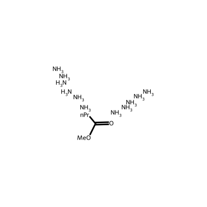 CCCC(=O)OC.N.N.N.N.N.N.N.N.N.N.N